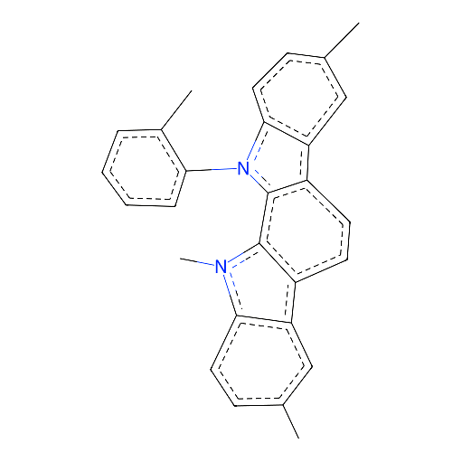 Cc1ccc2c(c1)c1ccc3c4cc(C)ccc4n(-c4ccccc4C)c3c1n2C